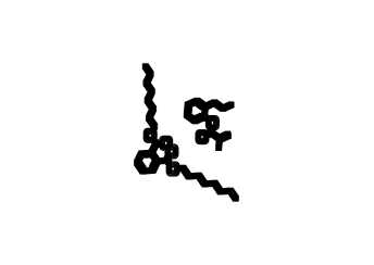 C=C(C)C(=O)Oc1ccccc1CCC.CCCCCCCCOC(=O)c1ccccc1C(=O)OCCCCCCCC